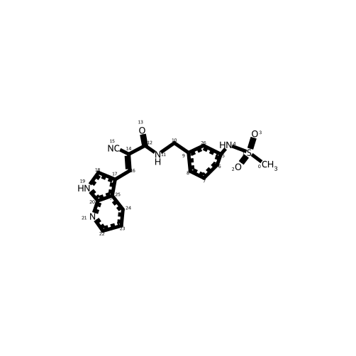 CS(=O)(=O)Nc1cccc(CNC(=O)/C(C#N)=C/c2c[nH]c3ncccc23)c1